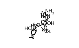 C=C(C)[C@H]1CC[C@@](C)(S[PH](=S)OC[C@H]2O[C@@H](n3cnc4c(N)ncnc43)[C@H](O)C2O[Si](C)(C)C(C)(C)C)[C@H](O)C1